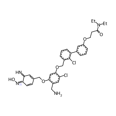 CCN(CC)C(=O)CCOc1cccc(-c2cccc(COc3cc(OCC4=CC(=N)/C(=N\O)C=C4)c(CN)cc3Cl)c2Cl)c1